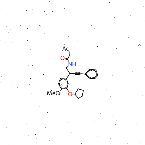 COc1ccc(C(C#Cc2ccccc2)CNC(=O)CC(C)=O)cc1OC1CCCC1